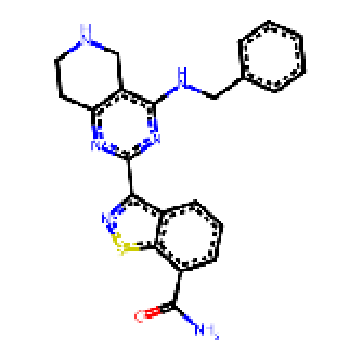 NC(=O)c1cccc2c(-c3nc4c(c(NCc5ccccc5)n3)CNCC4)nsc12